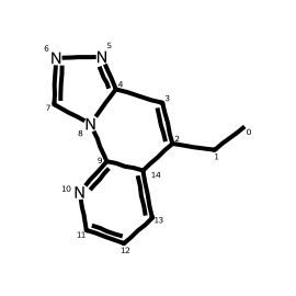 CCc1cc2nncn2c2ncccc12